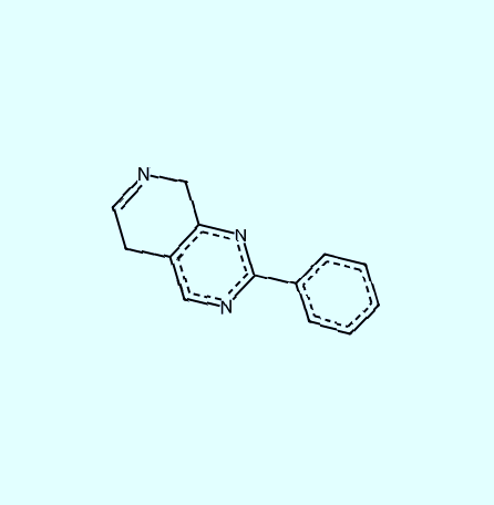 C1=NCc2nc(-c3ccccc3)ncc2C1